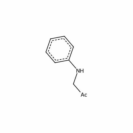 CC(=O)CNc1ccccc1